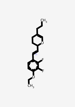 CCCC1=COC(/C=C/c2ccc(OCC)c(F)c2F)CC1